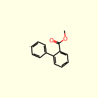 COC(=O)c1ccccc1-c1cc[c]cc1